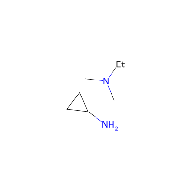 CCN(C)C.NC1CC1